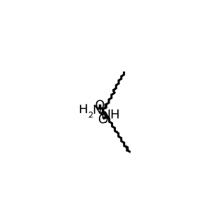 CCCCCCCCC=CCCCCCCC(C(N)=O)C(C)NC(=O)CCCCCCCCCCCCCCC